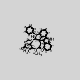 CN1C(=O)CC2(c3c[nH]c4ccccc34)c3ccccc3N(c3ccccc3)[C@@H]2N2CSC(=S)S[C@]1(C)C2=O